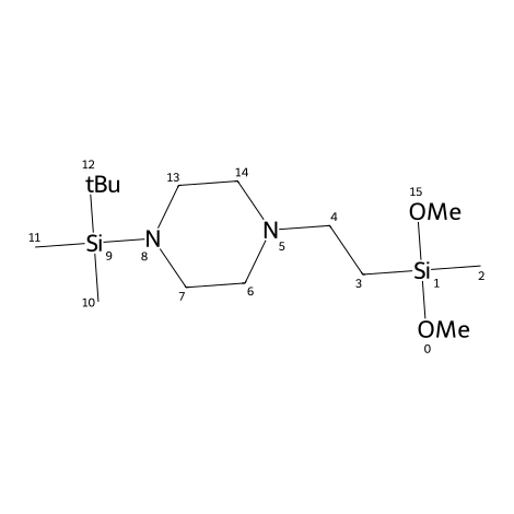 CO[Si](C)(CCN1CCN([Si](C)(C)C(C)(C)C)CC1)OC